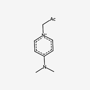 CC(=O)C[n+]1ccc(N(C)C)cc1